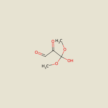 COC(O)(OC)C(=O)C=O